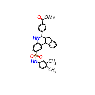 COC(=O)c1ccc(C2Nc3ccc(S(=O)(=O)Nc4ccc(C)c(C)c4)cc3C3c4ccccc4CC23)cc1